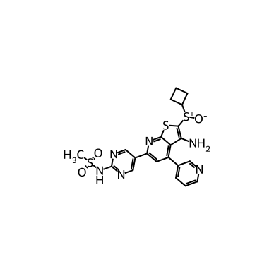 CS(=O)(=O)Nc1ncc(-c2cc(-c3cccnc3)c3c(N)c([S+]([O-])C4CCC4)sc3n2)cn1